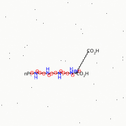 CCCOCCNC(=O)COCCOCCNC(=O)COCCOCCNC(=O)COCCOCCNC(=O)CC[C@H](NC(=O)CCCCCCCCCCCCCCCCC(=O)O)C(=O)O